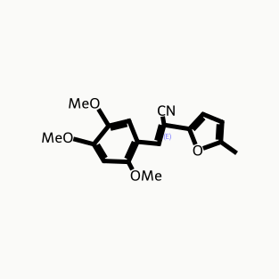 COc1cc(OC)c(OC)cc1/C=C(\C#N)c1ccc(C)o1